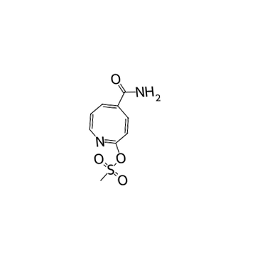 CS(=O)(=O)OC1=NC=CC=C(C(N)=O)C=C1